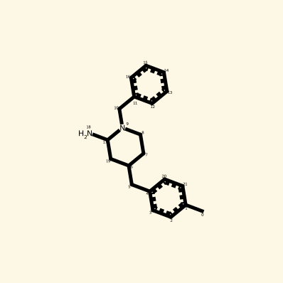 Cc1ccc(CC2CCN(Cc3ccccc3)C(N)C2)cc1